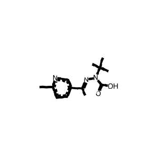 CC(=NN(C(=O)O)C(C)(C)C)c1ccc(C)nc1